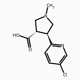 CN1C[C@@H](C(=O)O)[C@H](c2ccc(Cl)cn2)C1